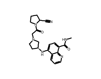 CNC(=O)c1ccc(N[C@H]2CCN(CC(=O)N3CCCC3C#N)C2)c2cccnc12